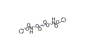 O=C(/C=C/C(=O)OCCNC(=O)OCc1ccccc1)OCCNC(=O)OCc1ccccc1